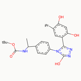 CC(C)c1cc(-c2nnc(O)n2-c2ccc(C(C)NC(=O)OC(C)(C)C)cc2)c(O)cc1O